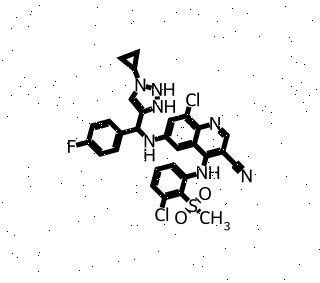 CS(=O)(=O)c1c(Cl)cccc1Nc1c(C#N)cnc2c(Cl)cc(NC(C3=CN(C4CC4)NN3)c3ccc(F)cc3)cc12